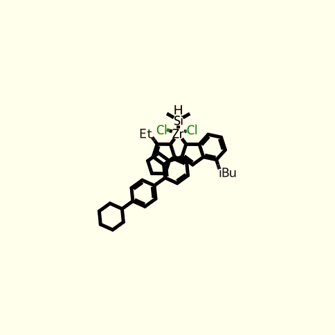 CCC1=Cc2c(-c3ccc(C4CCCCC4)cc3)cccc2[CH]1[Zr]([Cl])([Cl])([CH]1C(C2CCCC2)=Cc2c(C(C)CC)cccc21)[SiH](C)C